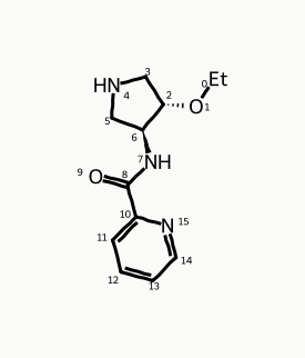 CCO[C@H]1CNC[C@@H]1NC(=O)c1ccccn1